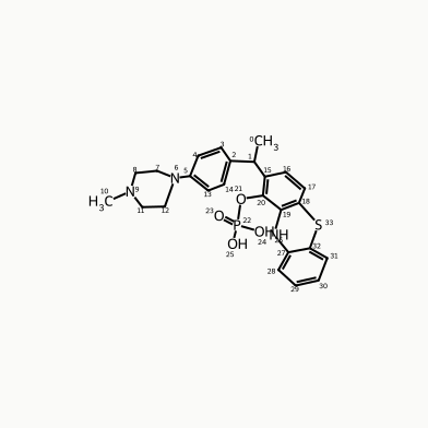 CC(c1ccc(N2CCN(C)CC2)cc1)c1ccc2c(c1OP(=O)(O)O)Nc1ccccc1S2